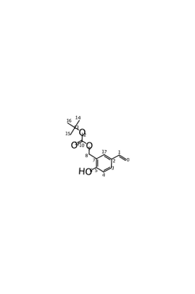 C=Cc1ccc(O)c(COC(=O)OC(C)(C)C)c1